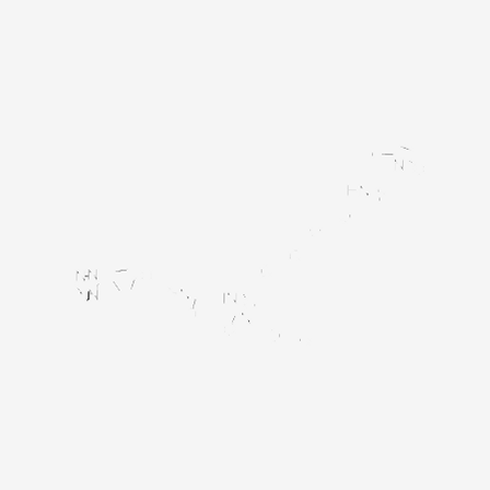 COCCOCCNC(=O)C(CCC(=O)NCCCOc1ccc(-c2nnc(C)nn2)cc1)NC(=O)CCOCCOCCOCCOCCNC(=O)CCN1C(=O)C=CC1=O